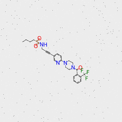 CCCCS(=O)(=O)NCC#Cc1ccc(N2CCN(C(=O)c3ccccc3C(F)(F)F)CC2)nc1